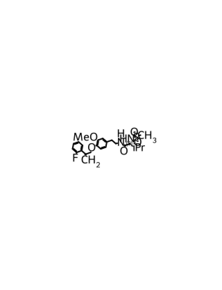 C=C(COc1ccc(CCNC(=O)[C@@H](NS(C)(=O)=O)C(C)C)cc1OC)c1ccccc1F